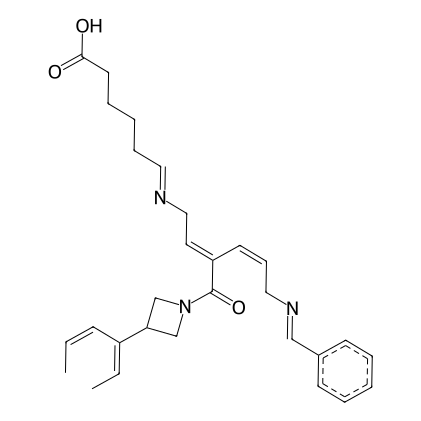 C/C=C\C(=C/C)C1CN(C(=O)C(/C=C\C/N=C/c2ccccc2)=C/C/N=C/CCCCC(=O)O)C1